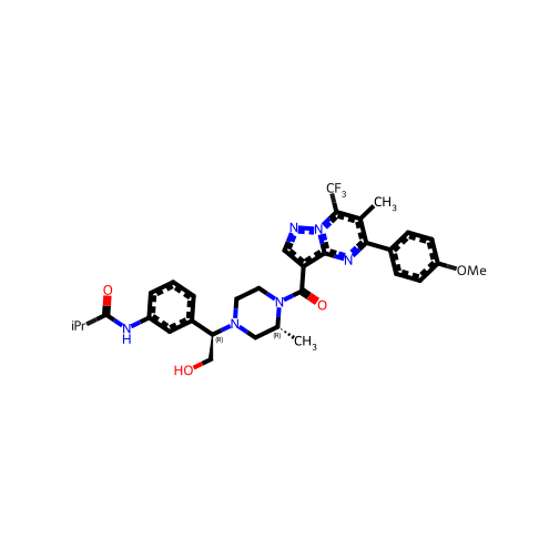 COc1ccc(-c2nc3c(C(=O)N4CCN([C@@H](CO)c5cccc(NC(=O)C(C)C)c5)C[C@H]4C)cnn3c(C(F)(F)F)c2C)cc1